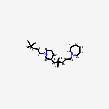 CC(C)(C)CCCN1CCCC(CC(C)(C)CCCN2CCCCCC2)C1